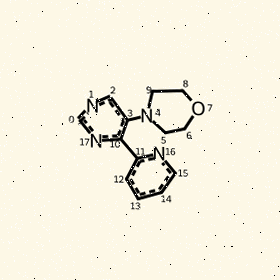 [c]1ncc(N2CCOCC2)c(-c2ccccn2)n1